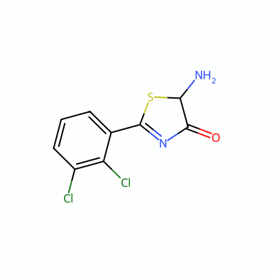 NC1SC(c2cccc(Cl)c2Cl)=NC1=O